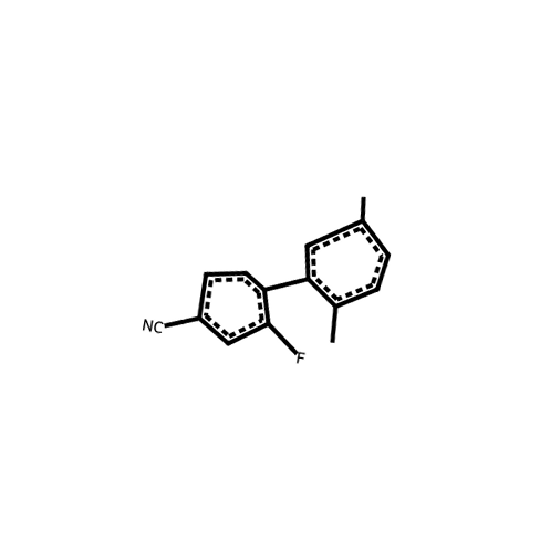 Cc1ccc(C)c(-c2ccc(C#N)cc2F)c1